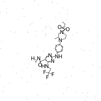 CCS(=O)(=O)N1CCN(c2ccc(Nc3ncc(C(N)=O)c(NCC(F)(F)F)n3)cc2)C(C)C1